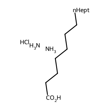 CCCCCCCCCCCCCC(=O)O.Cl.N.N